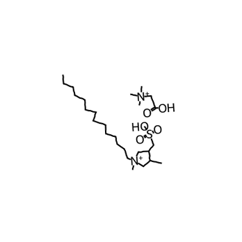 CCCCCCCCCCCCCC[N+]1(C)CC(C)C(CS(=O)(=O)O)C1.C[N+](C)(C)CC(=O)O